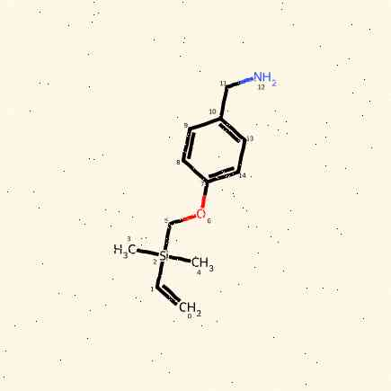 C=C[Si](C)(C)COc1ccc(CN)cc1